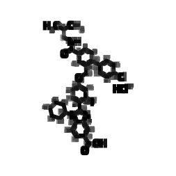 CC(C)CNC(=O)c1ccc(-c2ccc(Cl)cc2)c(COc2ccc(-c3nc4cc(C(=O)O)ccc4n3C3CCCCC3)c(F)c2)c1.Cl